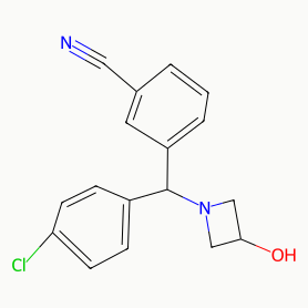 N#Cc1cccc(C(c2ccc(Cl)cc2)N2CC(O)C2)c1